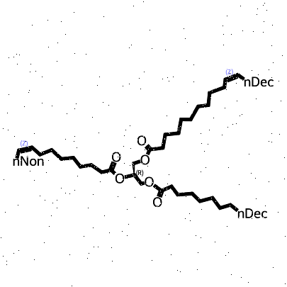 CCCCCCCCC/C=C\CCCCCCCC(=O)O[C@@H](COC(=O)CCCCCCCCC/C=C\CCCCCCCCCC)COC(=O)CCCCCCCCCCCCCCCCC